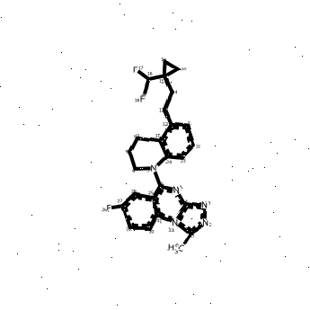 Cc1nnc2nc(N3CCCc4c(CCC5(C(F)F)CC5)cccc43)c3cc(F)ccc3n12